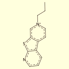 CCC[n+]1ccc2c(c1)sc1ncccc12